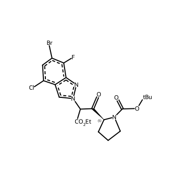 CCOC(=O)C(C(=O)[C@@H]1CCCN1C(=O)OC(C)(C)C)n1cc2c(Cl)cc(Br)c(F)c2n1